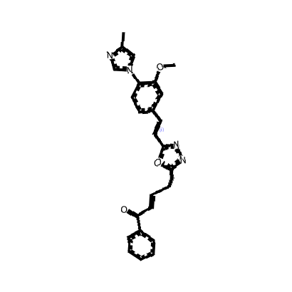 COc1cc(/C=C/c2nnc(CC=CC(=O)c3ccccc3)o2)ccc1-n1cnc(C)c1